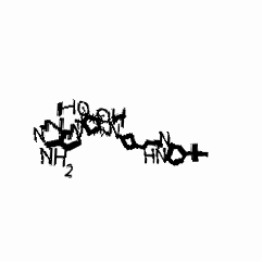 CCN(C[C@H]1C[C@](C)(n2ccc3c(N)ncnc32)[C@H](O)[C@@H]1O)C1CC(CCc2nc3cc(C(C)(C)C)ccc3[nH]2)C1